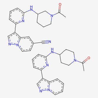 CC(=O)N1CCC(Nc2cccc(-c3cnn4ccccc34)n2)CC1.CC(=O)N1CCCC(Nc2cccc(-c3cnn4ccc(C#N)cc34)n2)C1